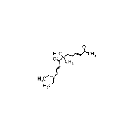 CCN(CC)C/C=C/C(=O)C(C)(C)CC/C=C/C(C)=O